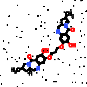 C=C1CC2C=Nc3cc(OCCCOc4cc5c(cc4O)C(=O)N4CC(=C)C[C@H]4C=N5)c(O)cc3C(=O)N2C1